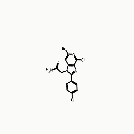 NC(=O)Cn1c(-c2ccc(Cl)cc2)nc2c(Cl)nc(Br)cc21